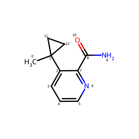 CC1(c2cccnc2C(N)=O)CC1